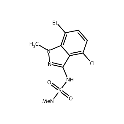 CCc1ccc(Cl)c2c(NS(=O)(=O)NC)nn(C)c12